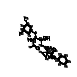 CC(=O)NC(Cc1cc(F)cc(F)c1)C(O)CNC1(C(=O)Nc2ccccc2)CC1